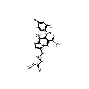 COC(=O)c1cn2c(CNCC(=O)OC(C)(C)C)cnc2c(Cl)c1Nc1ccc(Br)cc1Cl